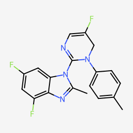 Cc1ccc(N2CC(F)=CN=C2n2c(C)nc3c(F)cc(F)cc32)cc1